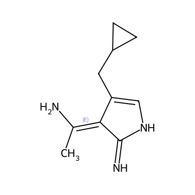 C/C(N)=C1\C(=N)NC=C1CC1CC1